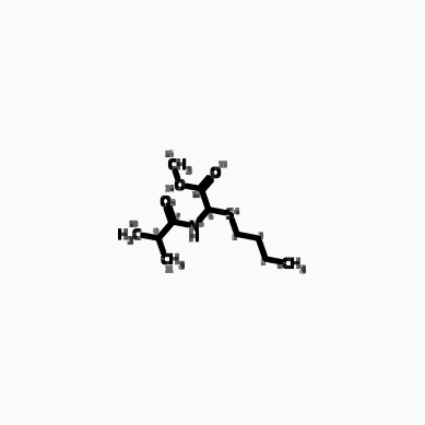 CCCCSC(NC(=O)C(C)C)C(=O)OC